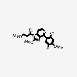 CCC(CCOC)n1c(OC)nc2c(-c3cc(F)c(OC)cc3Cl)nccc21